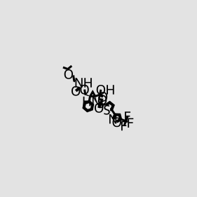 CC(C)OCCNC(=O)OC[C@@]1(c2ccccc2)C[C@]1(NS(=O)(=O)c1ccc(-c2cc(C(F)(F)F)on2)s1)C(=O)O